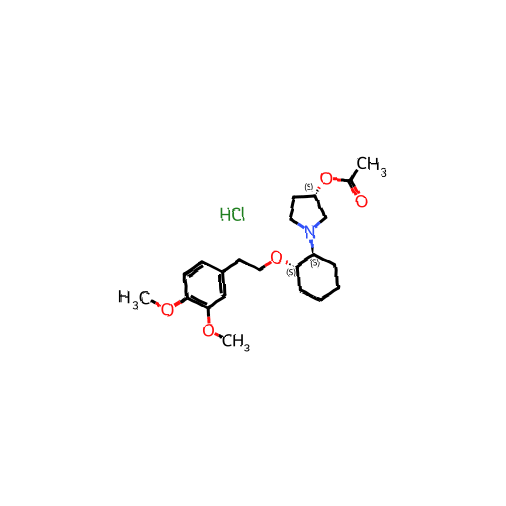 COc1ccc(CCO[C@H]2CCCC[C@@H]2N2CC[C@H](OC(C)=O)C2)cc1OC.Cl